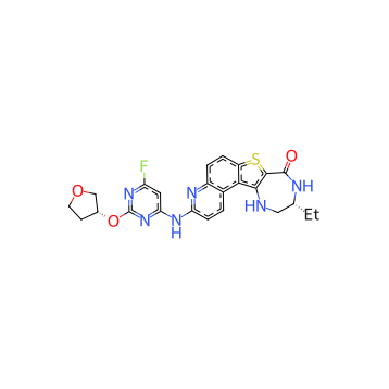 CC[C@@H]1CNc2c(sc3ccc4nc(Nc5cc(F)nc(O[C@@H]6CCOC6)n5)ccc4c23)C(=O)N1